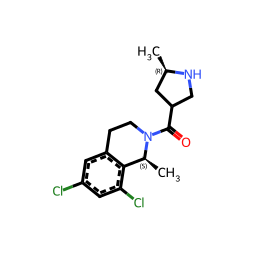 C[C@@H]1CC(C(=O)N2CCc3cc(Cl)cc(Cl)c3[C@@H]2C)CN1